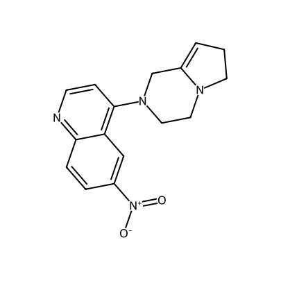 O=[N+]([O-])c1ccc2nccc(N3CCN4CCC=C4C3)c2c1